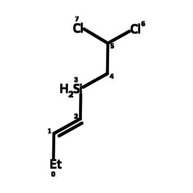 CCC=C[SiH2]CC(Cl)Cl